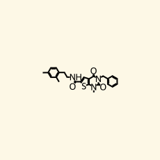 Cc1ccc(CCNC(=O)c2cc3c(=O)n(Cc4ccccc4)c(=O)n(C)c3s2)c(C)c1